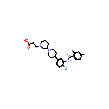 Cc1ccc([C@@H](C)Nc2cc(C3CCN(C4CCCN(CCC(=O)O)C4)CC3)ccc2Cl)c(Cl)c1